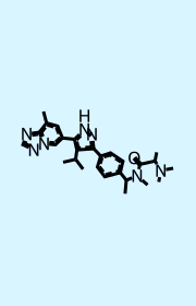 Cc1cc(-c2[nH]nc(-c3ccc(C(C)N(C)C(=O)C(C)N(C)C)cc3)c2C(C)C)cn2ncnc12